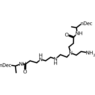 CCCCCCCCCCC(C)NC(=O)CCNCCNCCN(CCN)CCC(=O)NC(C)CCCCCCCCCC